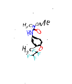 CON(C)C(=O)Nc1ccc(OC(F)(F)C(F)F)c(C)c1